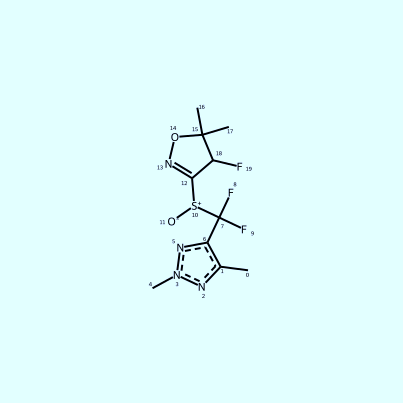 Cc1nn(C)nc1C(F)(F)[S+]([O-])C1=NOC(C)(C)C1F